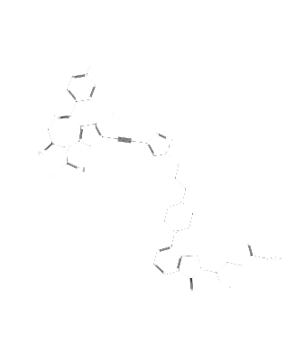 CNC(=O)CCC(C=O)N1Cc2c(cccc2N2CCN(CCCn3cc(C#Cc4sc5c(c4C)C(c4ccc(Cl)cc4)=N[C@@H](C)C(=N)N5C(C)=N)cn3)CC2)C1=O